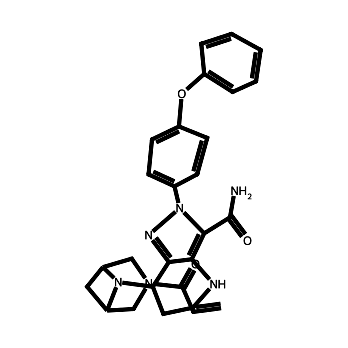 C=CC(=O)N1CC2CC(C1)N2C1CCNc2c1nn(-c1ccc(Oc3ccccc3)cc1)c2C(N)=O